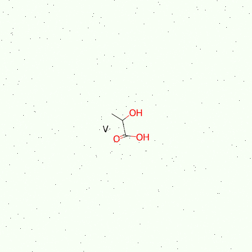 CC(O)C(=O)O.[V]